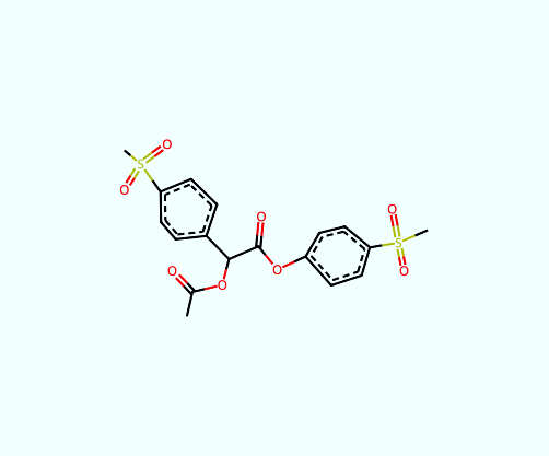 CC(=O)OC(C(=O)Oc1ccc(S(C)(=O)=O)cc1)c1ccc(S(C)(=O)=O)cc1